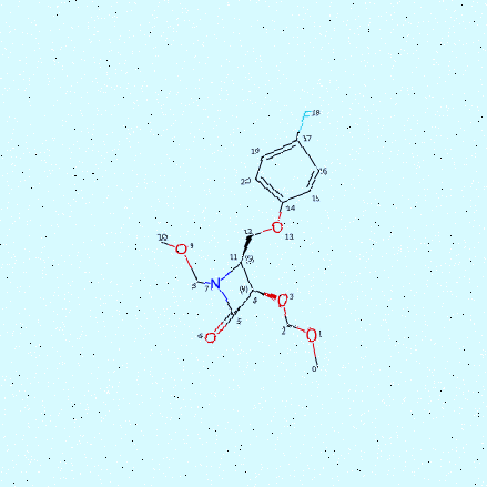 COCO[C@H]1C(=O)N(COC)[C@H]1COc1ccc(F)cc1